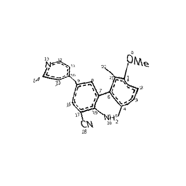 COc1ccc(C)c(-c2cc(-c3ccncc3)cc(C#N)c2N)c1C